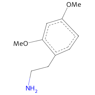 COc1ccc(CCN)c(OC)c1